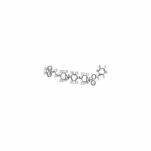 O=C(OCc1ccccc1)N1CCC(c2ccc(N3CCC(CCC4OCCO4)CC3)cc2)CC1